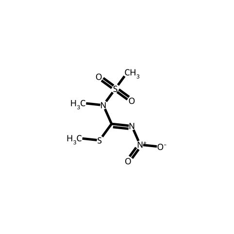 CS/C(=N\[N+](=O)[O-])N(C)S(C)(=O)=O